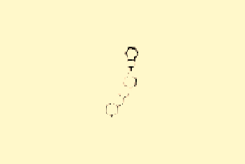 N[C@H](CC1CCCCC1)CN1CCN(c2nc3ccccc3s2)CC1